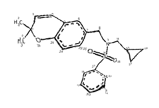 CC1(C)C=Cc2cc(CN(CC3CC3)S(=O)(=O)c3ccccn3)ccc2O1